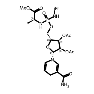 COC(=O)[C@H](C)NP(=O)(NC(C)C)OC[C@H]1O[C@@H](N2C=CCC(C(N)=O)=C2)[C@H](OC(C)=O)[C@@H]1OC(C)=O